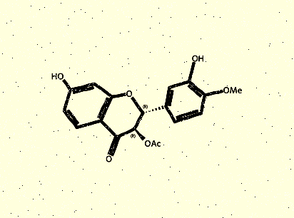 COc1ccc([C@H]2Oc3cc(O)ccc3C(=O)[C@@H]2OC(C)=O)cc1O